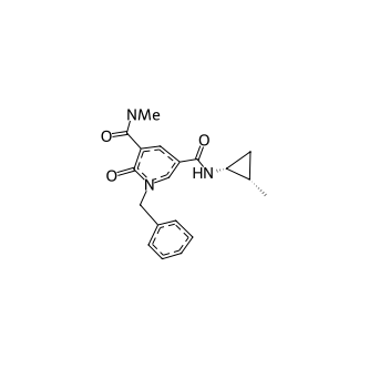 CNC(=O)c1cc(C(=O)N[C@@H]2C[C@@H]2C)cn(Cc2ccccc2)c1=O